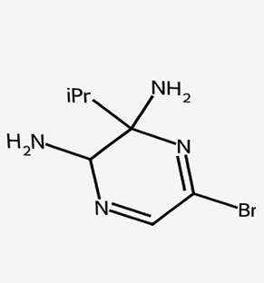 CC(C)C1(N)N=C(Br)C=NC1N